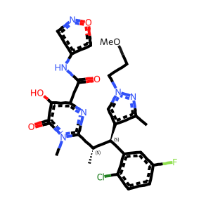 COCCn1cc([C@@H](c2cc(F)ccc2Cl)[C@H](C)c2nc(C(=O)Nc3cnoc3)c(O)c(=O)n2C)c(C)n1